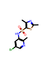 Cc1nc(C)c(S(=O)(=O)Nc2cc(Br)cnc2C)s1